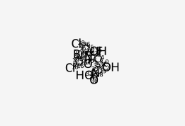 CC(O)(c1cc(F)c2c(c1)C(=O)N(Cc1ccc(Cl)cc1Br)C2(O)c1ccc(Cl)cc1)C1CCN(C(=O)O)CC1